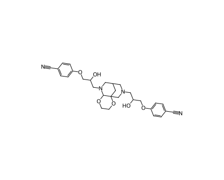 N#Cc1ccc(OCC(O)CN2CC3CN(CC(O)COc4ccc(C#N)cc4)C4OCCOC4(C3)C2)cc1